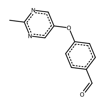 Cc1ncc(Oc2ccc(C=O)cc2)cn1